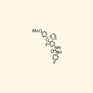 COc1ccc(COc2c(F)cc(NC(=O)Nc3ccc(F)cc3)cc2C2SC=CCS2)cc1